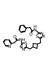 O=C(Cc1ccccc1)Nc1nnc(CC2CC(Cc3nnc(NC(=O)Cc4ccccn4)s3)C2)s1